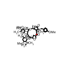 COc1ccc(CSC2C(=O)O[C@@]3(C)[C@H]2[C@@H](C)C(=O)[C@@H]2CO[C@](C)(C2)[C@H](O[C@@H]2O[C@H](C)C[C@@H](OC)[C@@H]2N(C)C)[C@@H](C)[C@H](O[C@H]2C[C@@](C)(OC)[C@@H](O)[C@H](C)O2)[C@@H](C)C(=O)O[C@@H]3I)cc1